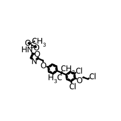 CC(C)(c1ccc(OCc2ncc(NS(C)(=O)=O)o2)cc1)c1cc(Cl)c(OCCCl)c(Cl)c1